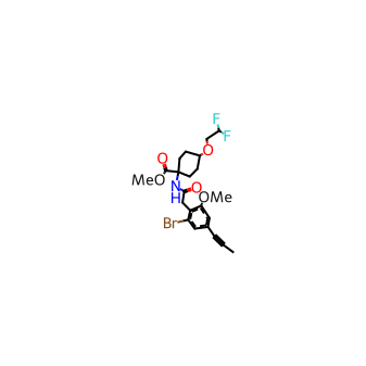 CC#Cc1cc(Br)c(CC(=O)NC2(C(=O)OC)CCC(OCC(F)F)CC2)c(OC)c1